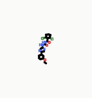 CCOc1cccc(-c2cnc(NC(=O)NC(=O)c3c(Cl)cccc3Cl)cn2)c1